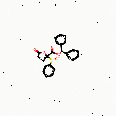 O=C1CCC(C(=O)OC(c2ccccc2)c2ccccc2)([S+]([O-])c2ccccc2)O1